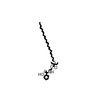 CCC=CCC=CCC=CCC=CCC=CCC=CCCCSC(CC)(CC)C(=O)OCCNC(=O)c1ccccc1O